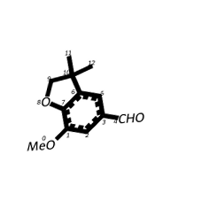 COc1cc(C=O)cc2c1OCC2(C)C